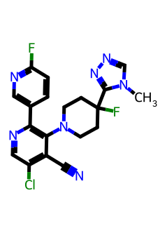 Cn1cnnc1C1(F)CCN(c2c(-c3ccc(F)nc3)ncc(Cl)c2C#N)CC1